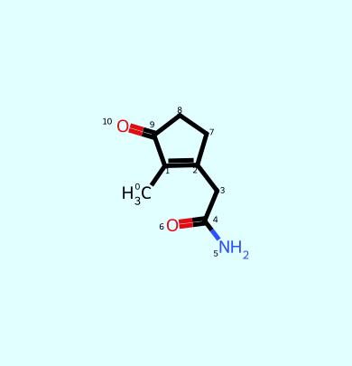 CC1=C(CC(N)=O)CCC1=O